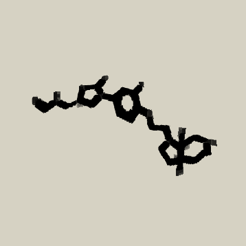 O=CNC[C@H]1CN(c2ccc(OCCN3CC[C@H]4CCNC[C@H]43)c(F)c2)C(=O)O1